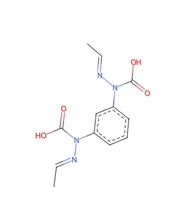 CC=NN(C(=O)O)c1cccc(N(N=CC)C(=O)O)c1